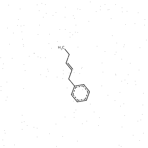 CC/C=C/Cc1[c]cccc1